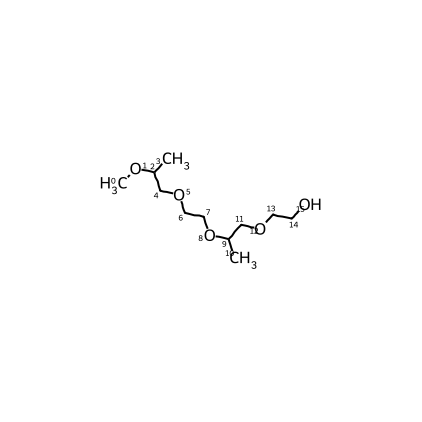 COC(C)COCCOC(C)COCCO